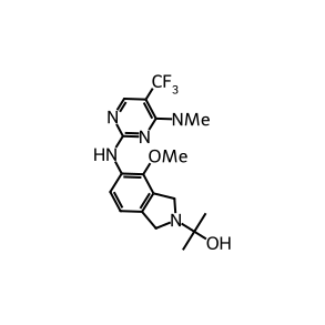 CNc1nc(Nc2ccc3c(c2OC)CN(C(C)(C)O)C3)ncc1C(F)(F)F